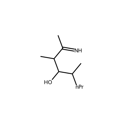 CCCC(C)C(O)C(C)C(C)=N